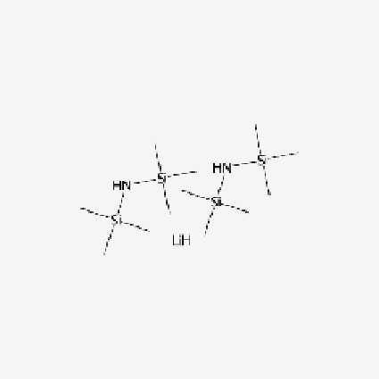 C[Si](C)(C)N[Si](C)(C)C.C[Si](C)(C)N[Si](C)(C)C.[LiH]